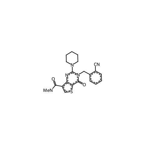 CNC(=O)c1csc2c(=O)n(Cc3ccccc3C#N)c(N3CCCCC3)nc12